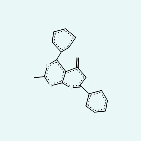 Cc1nc(-c2ccccc2)c2c(=O)cc(-c3ccccc3)[nH]c2n1